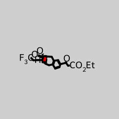 CCOC(=O)CC(=O)c1ccc2c(c1)CC1CCC(C2)C12CN(CC(F)(F)F)S(=O)(=O)N2